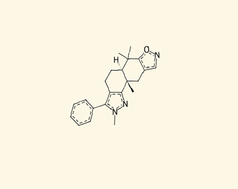 Cn1nc2c(c1-c1ccccc1)CC[C@H]1C(C)(C)c3oncc3C[C@]21C